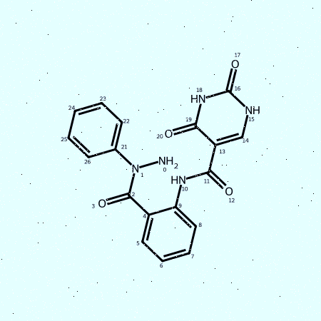 NN(C(=O)c1ccccc1NC(=O)c1c[nH]c(=O)[nH]c1=O)c1ccccc1